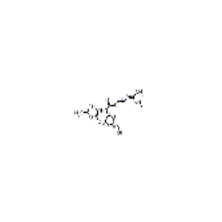 CC(C)OC(=O)O[C@@H]1C[C@@H](CO)O[C@H]1NC(=O)S/C=C/N=C(N)N